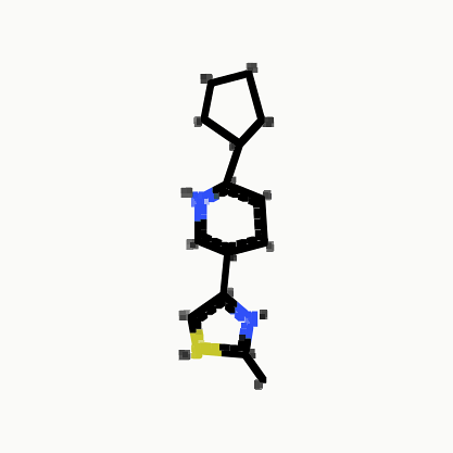 Cc1nc(-c2ccc(C3CCCC3)nc2)cs1